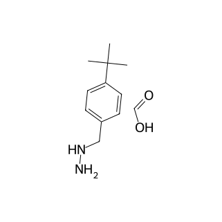 CC(C)(C)c1ccc(CNN)cc1.O=CO